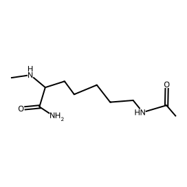 CNC(CCCCCNC(C)=O)C(N)=O